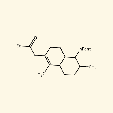 CCCCCC1C(C)CCC2C(C)=C(CC(=O)CC)CCC21